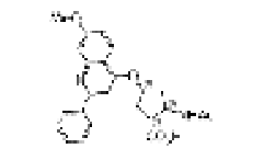 COc1ccc2c(O[C@H]3C[C@@H](NC(C)=O)[C@H](C(=O)O)C3)cc(-c3ccccc3)nc2c1